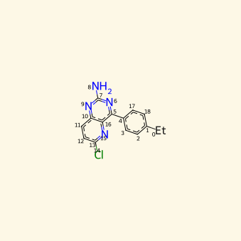 CCc1ccc(-c2nc(N)nc3ccc(Cl)nc23)cc1